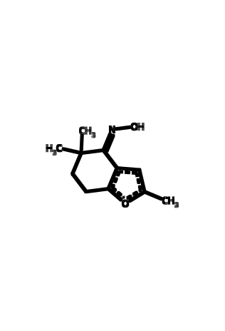 Cc1cc2c(o1)CCC(C)(C)/C2=N/O